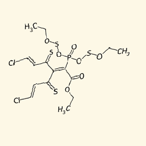 CCOSOP(=O)(OSOCC)C(C(=O)OCC)=C(C(=S)C=CCl)C(=S)C=CCl